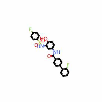 O=C(Nc1ccc(O)c(NS(=O)(=O)c2ccc(F)cc2)c1)c1ccc(-c2ccccc2F)cc1